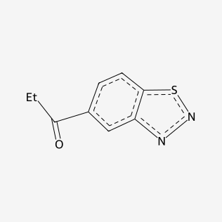 CCC(=O)c1ccc2snnc2c1